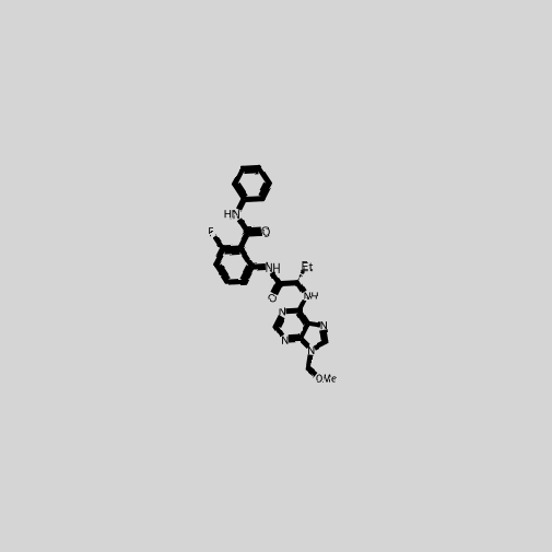 CC[C@H](Nc1ncnc2c1ncn2COC)C(=O)Nc1cccc(F)c1C(=O)Nc1ccccc1